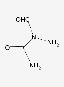 NC(=O)N(N)C=O